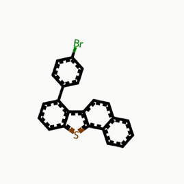 Brc1ccc(-c2cccc3sc4c5ccccc5ccc4c23)cc1